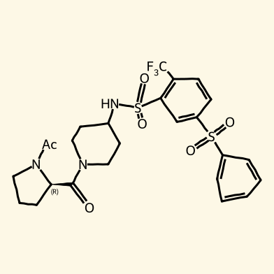 CC(=O)N1CCC[C@@H]1C(=O)N1CCC(NS(=O)(=O)c2cc(S(=O)(=O)c3ccccc3)ccc2C(F)(F)F)CC1